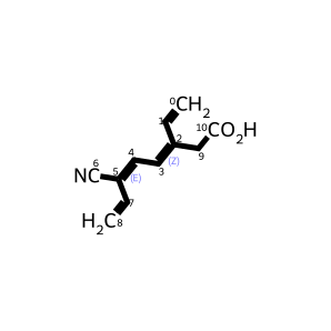 C=C/C(=C\C=C(\C#N)C=C)CC(=O)O